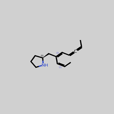 CC=C=C/C=C(\C=C/C)C[C@@H]1CCCN1